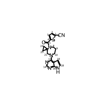 N#Cc1ccc(C(=O)N2CCCN(c3ncnc4[nH]ccc34)CC23CC3)s1